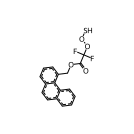 O=C(OCc1cccc2ccc3ccccc3c12)C(F)(F)OOS